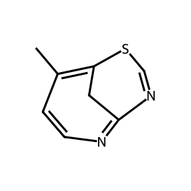 CC1=C2CC(=NC=C1)N=CS2